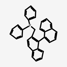 c1ccc(P(Cc2ccc3ccccc3c2-c2cccc3ccccc23)c2ccccc2)cc1